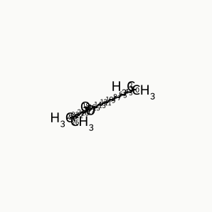 CC(C)CCCCCCCCCCCCCCOC(=O)CCCCC(C)C